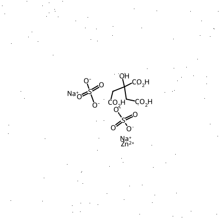 O=C(O)CC(O)(CC(=O)O)C(=O)O.O=S(=O)([O-])[O-].O=S(=O)([O-])[O-].[Na+].[Na+].[Zn+2]